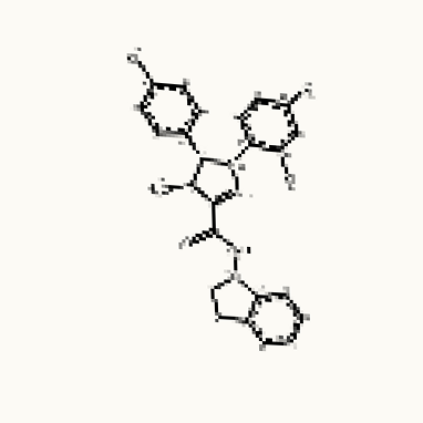 C[C@@H]1C(C(=O)NN2CCc3ccccc32)=NN(c2ccc(Cl)cc2Cl)[C@@H]1c1ccc(Cl)cc1